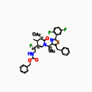 CC(=O)O[C@@H]1C(=O)N([C@@H](c2nc(-c3cc(F)ccc3F)sc2Cc2ccccc2)C(C)(C)C)C[C@@H]([C@@H](F)CNC(=O)OCc2ccccc2)C1C